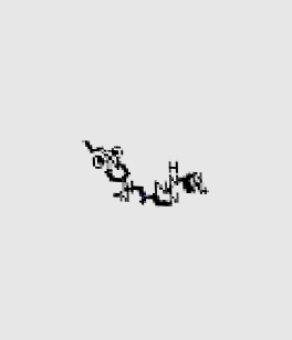 C=NN(/C=C(\C)c1ccnc(Nc2cnn(C)c2)n1)C1CCN(S(=O)(=O)CCC)CC1